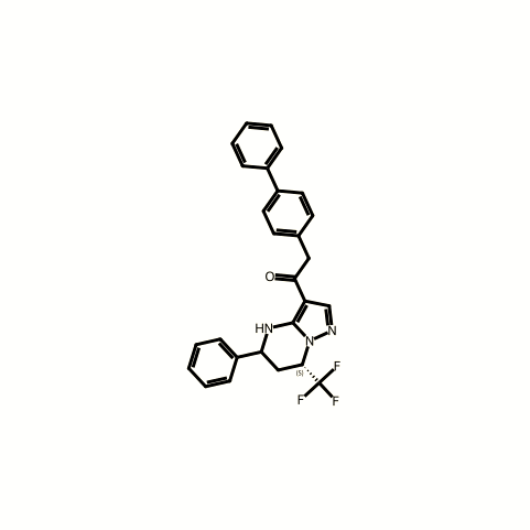 O=C(Cc1ccc(-c2ccccc2)cc1)c1cnn2c1NC(c1ccccc1)C[C@H]2C(F)(F)F